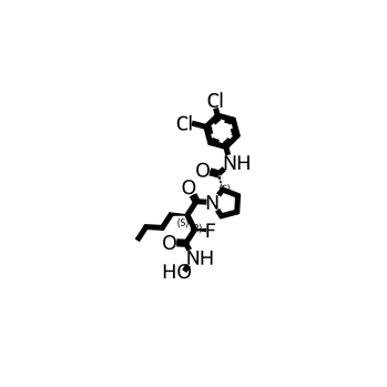 CCCC[C@@H](C(=O)N1CCC[C@H]1C(=O)Nc1ccc(Cl)c(Cl)c1)[C@@H](F)C(=O)NO